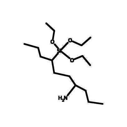 CCCC(N)CCC(CCC)[Si](OCC)(OCC)OCC